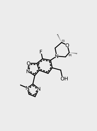 C[C@@H]1CN(c2c(CO)cc3c(-c4nccn4C)noc3c2F)C[C@H](C)O1